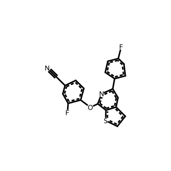 N#Cc1ccc(Oc2nc(-c3ccc(F)cc3)cc3ccsc23)c(F)c1